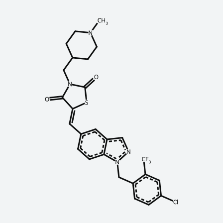 CN1CCC(CN2C(=O)SC(=Cc3ccc4c(cnn4Cc4ccc(Cl)cc4C(F)(F)F)c3)C2=O)CC1